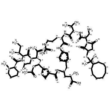 C=C(C)[C@@H](C[C@@H](OC(C)=O)c1nc(C(=O)N[C@@H](Cc2ccc(NC(=O)[C@H](CCCNC(N)=O)NC(=O)[C@@H](NC(=O)C(CN)N3C(=O)CC(SC(C)(C)C4CCCCCCCC4)C3=O)C(C)C)cc2)C[C@H](C)C(=O)O)cs1)N(CCC)C(=O)[C@@H](NC(=O)[C@H]1CCCCN1C)[C@@H](C)CC